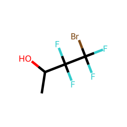 CC(O)C(F)(F)C(F)(F)Br